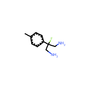 Cc1ccc(C(F)(CN)CN)cc1